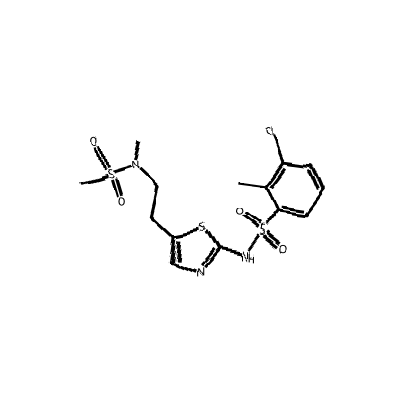 Cc1c(Cl)cccc1S(=O)(=O)Nc1ncc(CCN(C)S(C)(=O)=O)s1